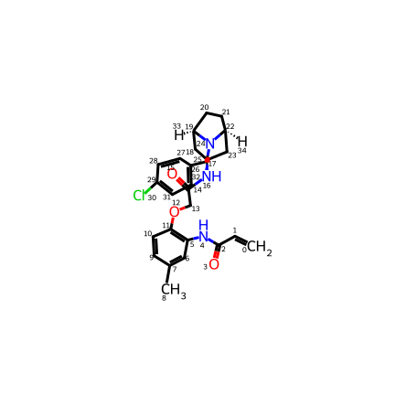 C=CC(=O)Nc1cc(C)ccc1OCC(=O)N[C@H]1C[C@H]2CC[C@@H](C1)N2Cc1ccc(Cl)cc1